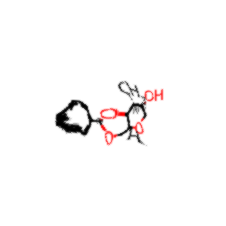 C[C@H]1C2O[C@H](c3ccccc3)OC[C@H]2OC[C@@H]1O